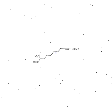 CCCCCCCCC#CC/C=C/CCCC([C]=O)[N+](=O)[O-]